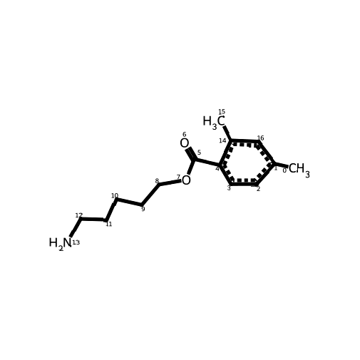 Cc1ccc(C(=O)OCCCCCN)c(C)c1